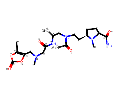 CNC(=O)N(CC[C@H]1CCC(C(N)=O)N1C)CC(C=O)NC(=O)CN(C)Cc1oc(=O)oc1C